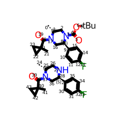 C[C@@H]1CN(C(=O)OC(C)(C)C)[C@@H](c2ccc(F)cc2)CN1C(=O)C1(C)CC1.C[C@@H]1CN[C@@H](c2ccc(F)cc2)CN1C(=O)C1(C)CC1